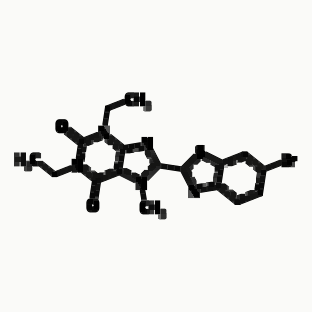 CCn1c(=O)c2c(nc(-c3nc4ccc(Br)cc4s3)n2C)n(CC)c1=O